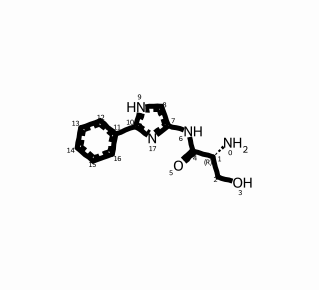 N[C@H](CO)C(=O)Nc1c[nH]c(-c2ccccc2)n1